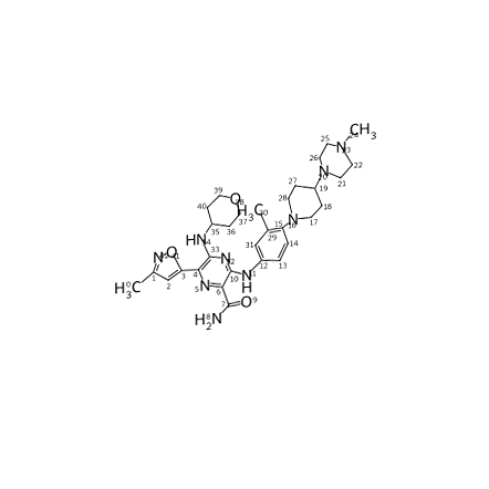 Cc1cc(-c2nc(C(N)=O)c(Nc3ccc(N4CCC(N5CCN(C)CC5)CC4)c(C)c3)nc2NC2CCOCC2)on1